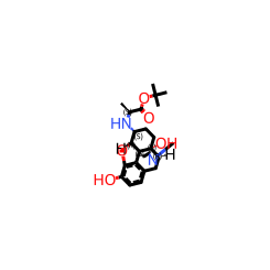 C[C@H](N[C@H]1CC[C@@]2(O)[C@H]3Cc4ccc(O)c5c4[C@@]2(CCN3C)[C@H]1O5)C(=O)OC(C)(C)C